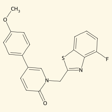 COc1ccc(-c2ccc(=O)n(Cc3nc4c(F)cccc4s3)c2)cc1